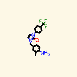 Cc1cc(Cn2ccn(-c3ccc(C(F)(F)F)cc3)c2=O)ccc1N